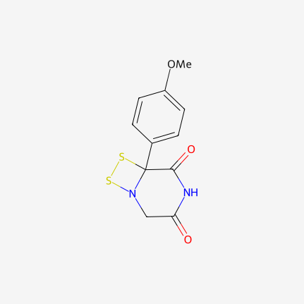 COc1ccc(C23SSN2CC(=O)NC3=O)cc1